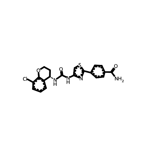 NC(=O)c1ccc(-c2nc(NC(=O)N[C@H]3CCOc4c(Cl)cccc43)cs2)cc1